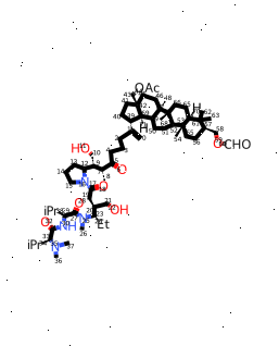 C=C(CCCC(=O)[C@H](C)[C@@H](CO)C1CCCN1C(=O)C[C@@H](CO)[C@H](CC)N(C)C(=O)[C@@H](NC(=O)[C@H](C(C)C)N(C)C)C(C)C)[C@@H]1CC[C@]2(COC(C)=O)CC[C@]3(C)C(CCC4[C@@]5(C)CC[C@H](COC=O)C(C)(C)[C@@H]5CC[C@]43C)[C@@H]12